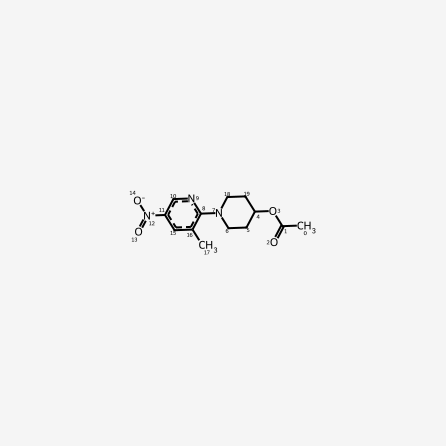 CC(=O)OC1CCN(c2ncc([N+](=O)[O-])cc2C)CC1